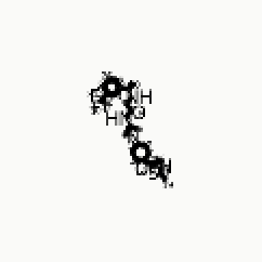 C=C(NCC(=O)NC1CN([C@H]2CC[C@@](O)(c3cnc(C)s3)CC2)C1)c1cccc(C(F)(F)F)c1